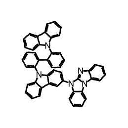 c1ccc(-n2c3ccccc3c3ccccc32)c(-c2ccccc2-n2c3ccccc3c3cc(-n4c5ccccc5n5c6ccccc6nc45)ccc32)c1